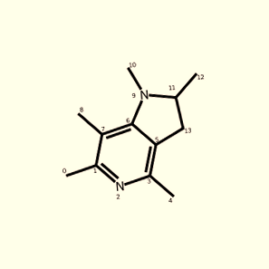 Cc1nc(C)c2c(c1C)N(C)C(C)C2